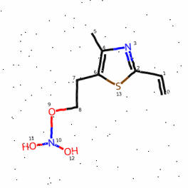 C=Cc1nc(C)c(CCON(O)O)s1